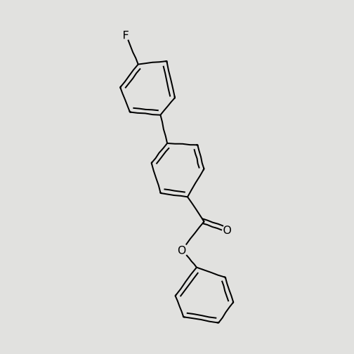 O=C(Oc1ccccc1)c1ccc(-c2ccc(F)cc2)cc1